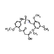 COc1cc(OC)c(/C=C/S(=O)(=O)Nc2ccc(OC)c(OC(=O)CC(=O)O)c2)c(OC)c1